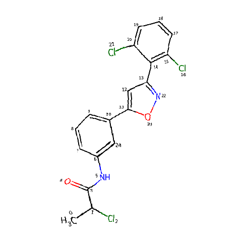 CC(Cl)C(=O)Nc1cccc(-c2cc(-c3c(Cl)cccc3Cl)no2)c1